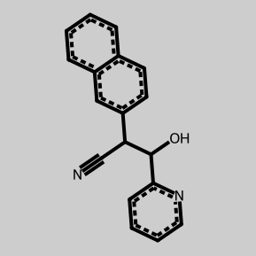 N#CC(c1ccc2ccccc2c1)C(O)c1ccccn1